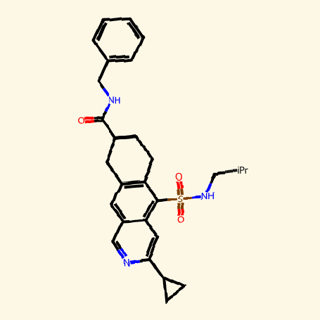 CC(C)CNS(=O)(=O)c1c2c(cc3cnc(C4CC4)cc13)CC(C(=O)NCc1ccccc1)CC2